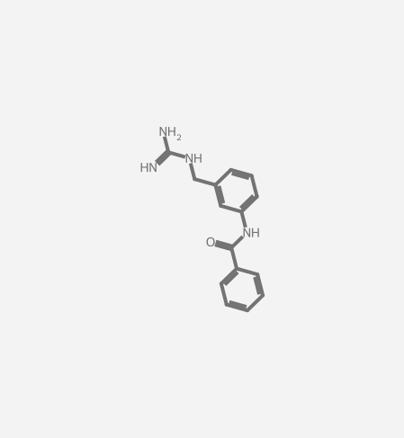 N=C(N)NCc1cccc(NC(=O)c2ccccc2)c1